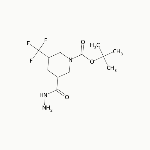 CC(C)(C)OC(=O)N1CC(C(=O)NN)CC(C(F)(F)F)C1